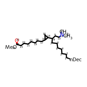 CCCCCCCCCCCCCCCCCC(CCN(C)C)C1CC1CCCCCCCC(=O)OC